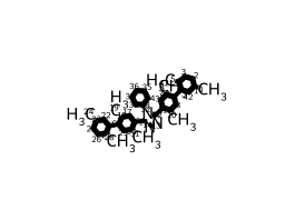 Cc1ccc(C)c(-c2cc(C)c(-c3nnc(-c4cc(C)c(-c5cc(C)ccc5C)cc4C)n3-c3ccccc3)cc2C)c1